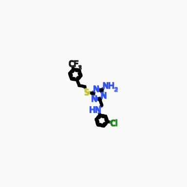 Nc1nc(CNc2cccc(Cl)c2)nc(SCCc2ccc(C(F)(F)F)cc2)n1